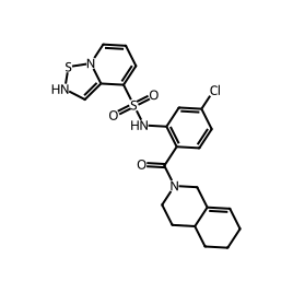 O=C(c1ccc(Cl)cc1NS(=O)(=O)C1=CC=CN2SNC=C12)N1CCC2CCCC=C2C1